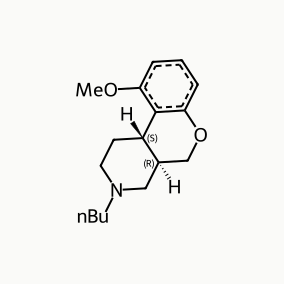 [CH2]CCCN1CC[C@@H]2c3c(OC)cccc3OC[C@H]2C1